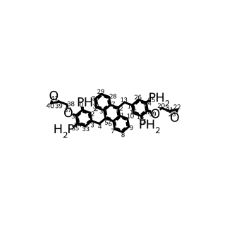 Pc1cc(Cc2c3ccccc3c(Cc3cc(P)c(OCC4CO4)c(P)c3)c3ccccc23)cc(P)c1OCC1CO1